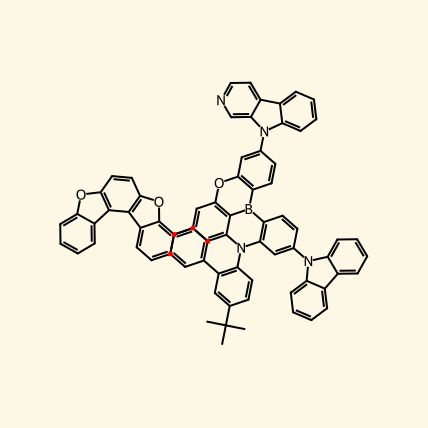 CC(C)(C)c1ccc(N2c3cc(-n4c5ccccc5c5ccccc54)ccc3B3c4ccc(-n5c6ccccc6c6ccncc65)cc4Oc4cc(-c5cccc6c5oc5ccc7oc8ccccc8c7c56)cc2c43)c(-c2ccccc2)c1